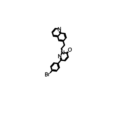 O=c1ccc(-c2ccc(Br)cc2)nn1CCc1ccc2ncccc2c1